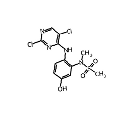 CN(c1cc(O)ccc1Nc1nc(Cl)ncc1Cl)S(C)(=O)=O